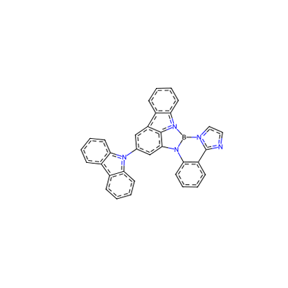 c1ccc2c(c1)-c1nccn1B1N2c2cc(-n3c4ccccc4c4ccccc43)cc3c4ccccc4n1c23